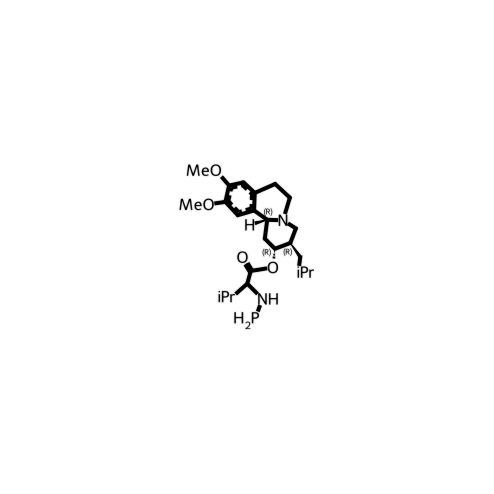 COc1cc2c(cc1OC)[C@H]1C[C@@H](OC(=O)C(NP)C(C)C)[C@H](CC(C)C)CN1CC2